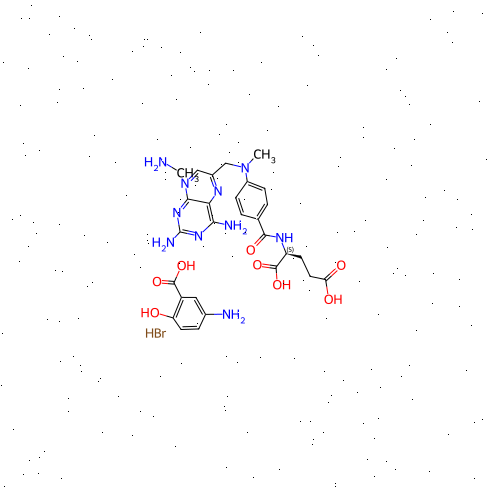 Br.CN.CN(Cc1cnc2nc(N)nc(N)c2n1)c1ccc(C(=O)N[C@@H](CCC(=O)O)C(=O)O)cc1.Nc1ccc(O)c(C(=O)O)c1